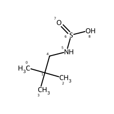 CC(C)(C)CNS(=O)O